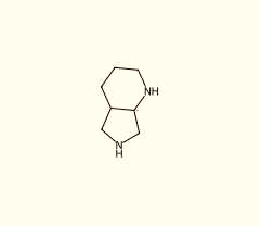 C1CN[C]2CNCC2C1